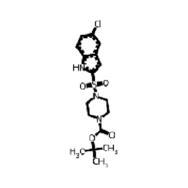 CC(C)(C)OC(=O)N1CCN(S(=O)(=O)c2cc3cc(Cl)ccc3[nH]2)CC1